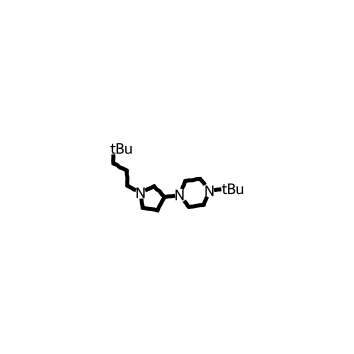 CC(C)(C)CCCN1CCC(N2CCN(C(C)(C)C)CC2)C1